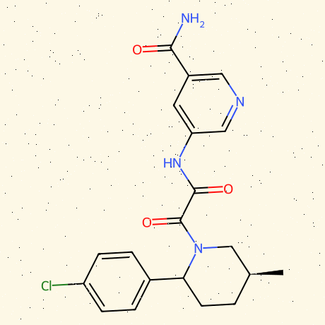 C[C@H]1CCC(c2ccc(Cl)cc2)N(C(=O)C(=O)Nc2cncc(C(N)=O)c2)C1